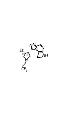 CC[C@H]1CN(CCC(F)(F)F)C[C@H]1c1nnc2cnc3[nH]ccc3n12